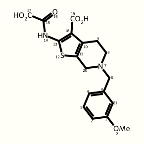 COc1cccc(CN2CCc3c(sc(NC(=O)C(=O)O)c3C(=O)O)C2)c1